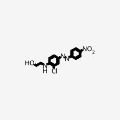 O=[N+]([O-])c1ccc(N=Nc2ccc(NCCO)c(Cl)c2)cc1